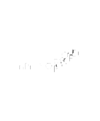 CCCC1CC=C(c2ccc(C(F)(F)Oc3cc4ccc(OCC)c(F)c4s3)cc2)CC1